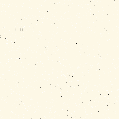 COc1ccc(-c2c(OC(F)F)cc(N3CCC(OC(N)=O)CC3)nc2-c2ccc(C#N)c(F)c2)cc1OCc1ccccc1